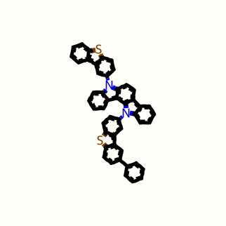 c1ccc(-c2ccc3sc4ccc(-n5c6ccccc6c6ccc7c(c8ccccc8n7-c7ccc8sc9ccccc9c8c7)c65)cc4c3c2)cc1